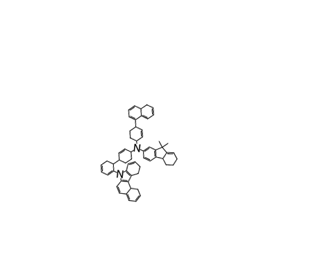 CC1(C)C2=CCCCC2c2ccc(N(C3C=CC(C4=CC=CC5CC=CC=C45)CC3)C3C=CC(C4CC=CC=C4n4c5c(c6c4C=CC4=CC=CCC46)CCC=C5)CC3)cc21